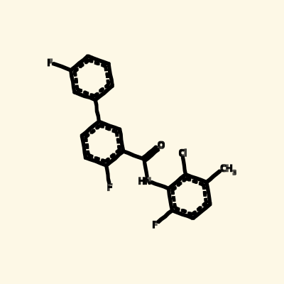 Cc1ccc(F)c(NC(=O)c2cc(-c3cccc(F)c3)ccc2F)c1Cl